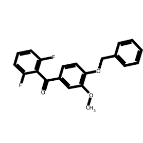 COc1cc(C(=O)c2c(F)cccc2F)ccc1OCc1ccccc1